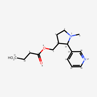 CN1CCC(COC(=O)CCC(=O)O)C1c1cccnc1